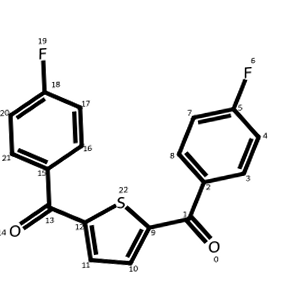 O=C(c1ccc(F)cc1)c1ccc(C(=O)c2ccc(F)cc2)s1